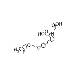 Cc1ccc(OCCCCOc2ccc(C=Cc3cccc4c3c(CC(=O)O)cn4CCCC(=O)O)cc2)cc1F